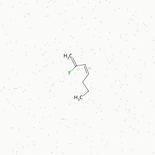 C=C(F)/C=C\CCC